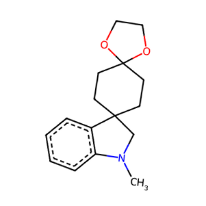 CN1CC2(CCC3(CC2)OCCO3)c2ccccc21